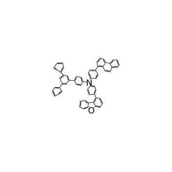 c1ccc(-c2cc(-c3ccccc3)cc(-c3ccc(N(c4ccc(-c5cccc6c5ccc5ccccc56)cc4)c4ccc(-c5cccc6oc7ccccc7c56)cc4)cc3)c2)cc1